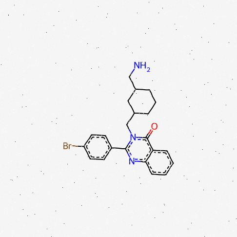 NCC1CCCC(Cn2c(-c3ccc(Br)cc3)nc3ccccc3c2=O)C1